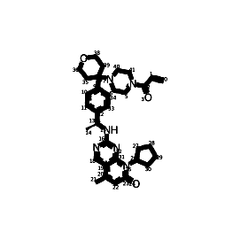 C=CC(=O)N1CCN(C2(c3ccc([C@H](C)Nc4ncc5c(C)cc(=O)n(C6CCCC6)c5n4)cc3)CCOCC2)CC1